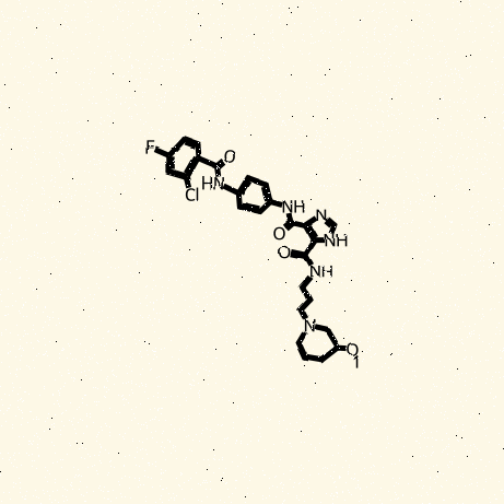 O=C(Nc1ccc(NC(=O)c2nc[nH]c2C(=O)NCCCN2CCCC(OI)C2)cc1)c1ccc(F)cc1Cl